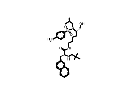 CC(C)CN([C@H](CO)CCCCNC(=O)[C@H](Cc1ccc2ccccc2c1)NCC(C)(C)C)S(=O)(=O)c1ccc(N)cc1